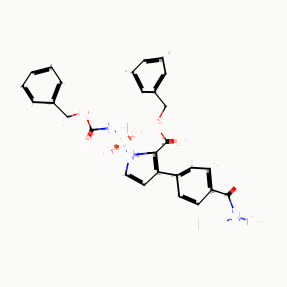 CN(C)C(=O)c1ccc(-c2ccn(S(=O)(=O)NC(=O)OCc3ccccc3)c2C(=O)OCc2ccccc2)cc1